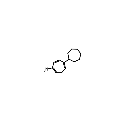 NC1=CCC=C(C2CCCCCC2)C=C1